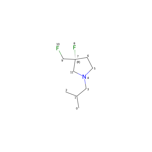 CC(C)CN1CC[C@](F)(CF)C1